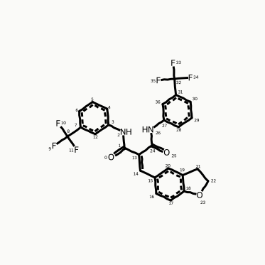 O=C(Nc1cccc(C(F)(F)F)c1)C(=Cc1ccc2c(c1)CCO2)C(=O)Nc1cccc(C(F)(F)F)c1